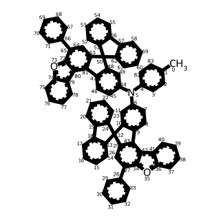 Cc1ccc(N(c2ccc3c(c2)C2(c4ccccc4-c4ccccc42)c2cc(-c4ccccc4)c4oc5ccccc5c4c2-3)c2ccc3c(c2)C2(c4ccccc4-c4ccccc42)c2cc(-c4ccccc4)c4oc5ccccc5c4c2-3)cc1